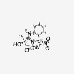 CN(c1ccccc1)[C@@H](n1cc([N+](=O)[O-])nc1Cl)C(C)(C)O